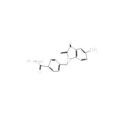 Nc1ccc2c(c1)C(=O)C(=O)N2Cc1ccc(C(=O)NO)cc1